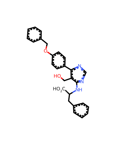 O=C(O)C(Cc1ccccc1)Nc1ncnc(-c2ccc(OCc3ccccc3)cc2)c1CO